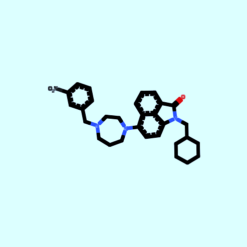 O=C1c2cccc3c(N4CCCN(Cc5cccc([N+](=O)[O-])c5)CC4)ccc(c23)N1CC1CCCCC1